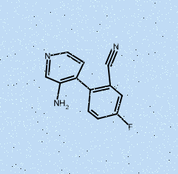 N#Cc1cc(F)ccc1-c1ccncc1N